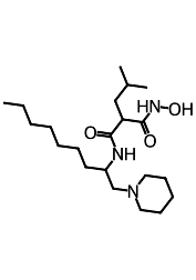 CCCCCCCC(CN1CCCCC1)NC(=O)C(CC(C)C)C(=O)NO